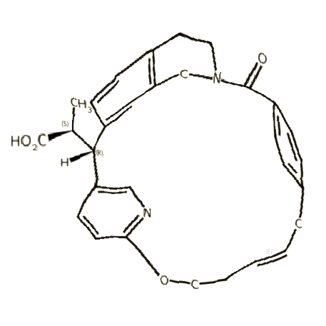 C[C@H](C(=O)O)[C@H]1c2ccc(nc2)OCC/C=C/Cc2ccc(cc2)C(=O)N2CCc3ccc1cc3C2